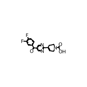 O=C(c1cnc(C2=CCN(C(=O)O)CC2)nc1)c1ccc(F)c(F)c1